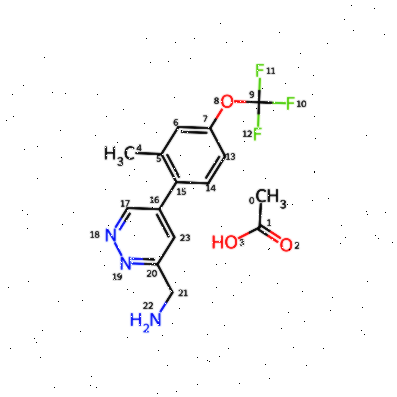 CC(=O)O.Cc1cc(OC(F)(F)F)ccc1-c1cnnc(CN)c1